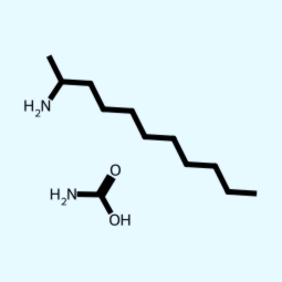 CCCCCCCCCC(C)N.NC(=O)O